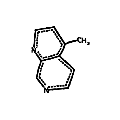 Cc1ccnc2cnccc12